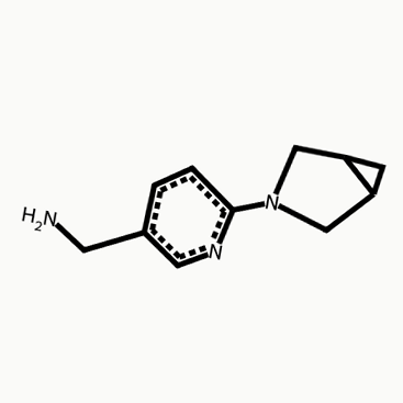 NCc1ccc(N2CC3CC3C2)nc1